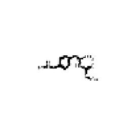 CC(C)NCc1ccc(C[C@H](NC(=O)OC(C)(C)C)C(=O)O)cc1